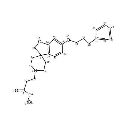 CC(C)(C)OC(=O)CCN1CCC2(CC1)COc1cc(OCCCc3ccccc3)ccc12